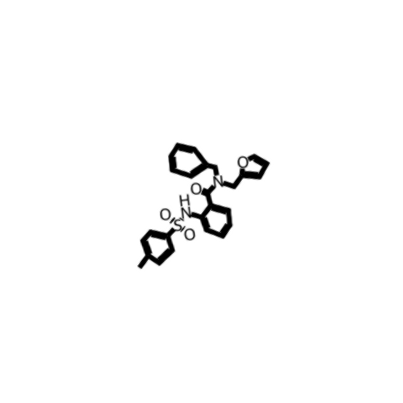 Cc1ccc(S(=O)(=O)Nc2ccccc2C(=O)N(Cc2ccccc2)Cc2ccco2)cc1